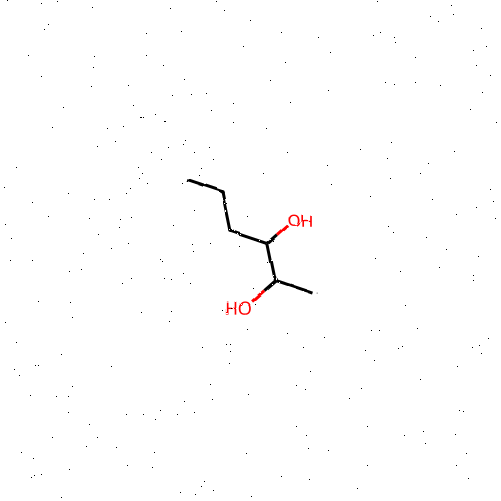 [CH2]C(O)C(O)CCC